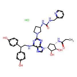 CCC(=O)N[C@H]1C[C@@H](n2cnc3c(NCC(c4ccc(O)cc4)c4ccc(O)cc4)nc(N4CC[C@@H](NC(=O)NCc5ccccn5)C4)nc32)[C@H](O)[C@@H]1O.Cl